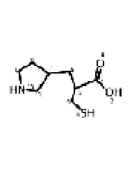 O=C(O)C(CS)CC1CCNC1